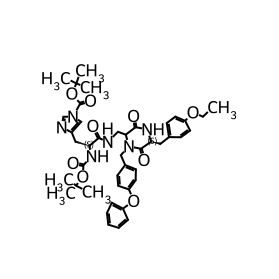 CCOc1ccc(C[C@@H]2NC(=O)C(CNC(=O)[C@H](Cc3cn(C(=O)OC(C)(C)C)cn3)NC(=O)OC(C)(C)C)N(Cc3ccc(Oc4ccccc4)cc3)C2=O)cc1